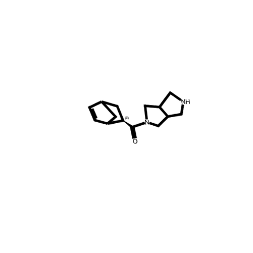 O=C([C@@H]1CC2C=CC1C2)N1CC2CNCC2C1